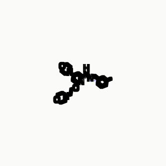 Cc1cccc(/C=N/Nc2cc(N3CCOCC3)cc(OCCN3CCOCC3)n2)c1